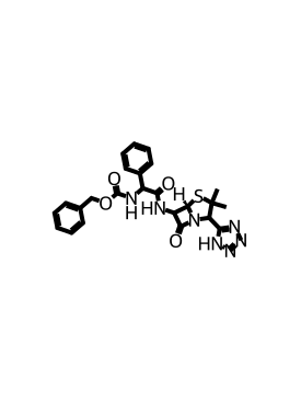 CC1(C)S[C@H]2C(NC(=O)C(NC(=O)OCc3ccccc3)c3ccccc3)C(=O)N2C1c1nnn[nH]1